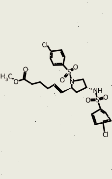 COC(=O)CCCC=C[C@@H]1C[C@@H](NS(=O)(=O)c2ccc(Cl)cc2)CN1S(=O)(=O)c1ccc(Cl)cc1